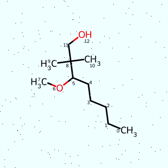 CCCCCC(OC)C(C)(C)CO